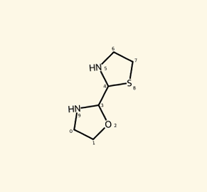 C1COC(C2NCCS2)N1